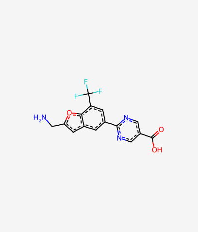 NCc1cc2cc(-c3ncc(C(=O)O)cn3)cc(C(F)(F)F)c2o1